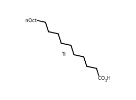 CCCCCCCCCCCCCCCCCC(=O)O.[Ti]